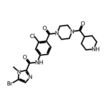 Cn1c(Br)cnc1C(=O)Nc1ccc(C(=O)N2CCN(C(=O)C3CCNCC3)CC2)c(Cl)c1